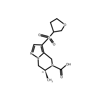 C[C@H]1Cn2ncc(S(=O)(=O)C3CCOC3)c2CN1C(=O)O